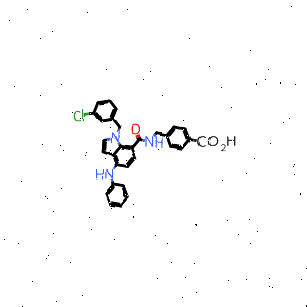 O=C(O)c1ccc(CNC(=O)c2ccc(Nc3ccccc3)c3ccn(Cc4cccc(Cl)c4)c23)cc1